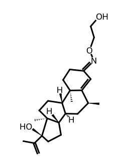 C=C(C)[C@@]1(O)CC[C@H]2[C@@H]3C[C@H](C)C4=C/C(=N/OCCO)CC[C@]4(C)[C@H]3CC[C@@]21C